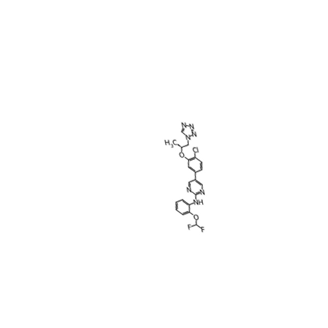 C[C@@H](Cn1cnnn1)Oc1cc(-c2cnc(Nc3ccccc3OC(F)F)nc2)ccc1Cl